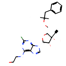 C#C[C@@]1(O)[C@@H](COC(Cc2ccccc2)(C(=O)O)C(=O)O)O[C@@H](n2cnc3c(NCCO)nc(Cl)nc32)[C@@H]1O